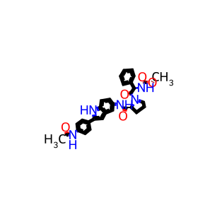 COC(=O)N[C@@H](C(=O)N1CCC[C@H]1C(=O)Nc1ccc2[nH]c(-c3ccc(NC(C)=O)cc3)cc2c1)c1ccccc1